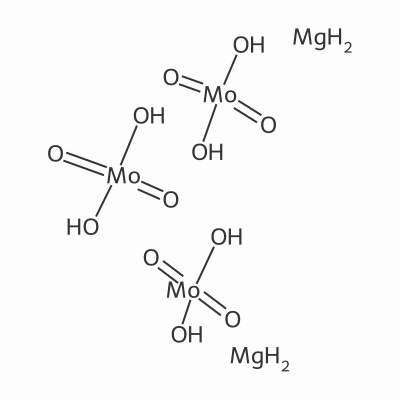 [MgH2].[MgH2].[O]=[Mo](=[O])([OH])[OH].[O]=[Mo](=[O])([OH])[OH].[O]=[Mo](=[O])([OH])[OH]